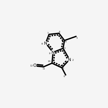 Cc1nc2c(C)ccnn2c1C=O